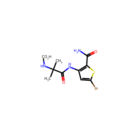 CC(C)(NC(=O)O)C(=O)Nc1cc(Br)sc1C(N)=O